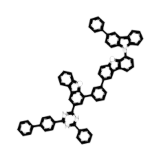 c1ccc(-c2ccc(-c3nc(-c4ccccc4)nc(-c4cc(-c5cccc(-c6ccc7oc8c(-n9c%10ccccc%10c%10cc(-c%11ccccc%11)ccc%109)cccc8c7c6)c5)c5oc6ccccc6c5c4)n3)cc2)cc1